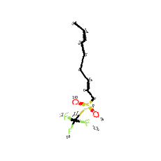 CCCCCCCCS(=O)(=O)C(F)(F)F